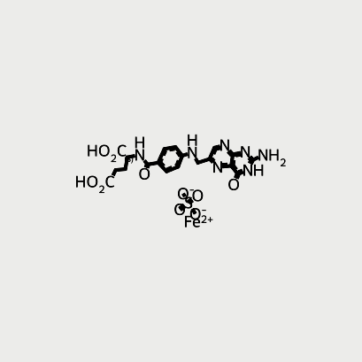 Nc1nc2ncc(CNc3ccc(C(=O)N[C@@H](CCC(=O)O)C(=O)O)cc3)nc2c(=O)[nH]1.O=S(=O)([O-])[O-].[Fe+2]